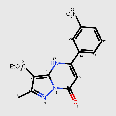 CCOC(=O)c1c(C)nn2c(=O)cc(-c3cccc([N+](=O)[O-])c3)[nH]c12